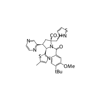 COc1cc(C(=O)N2[C@@H](c3ncc(C)s3)[C@@H](c3cnccn3)C[C@@]2(Cc2ccsn2)C(=O)O)ccc1C(C)(C)C